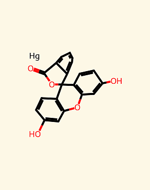 O=C1OC2(c3ccc(O)cc3Oc3cc(O)ccc32)c2ccccc21.[Hg]